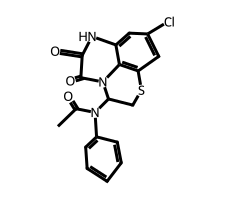 CC(=O)N(c1ccccc1)C1CSc2cc(Cl)cc3[nH]c(=O)c(=O)n1c23